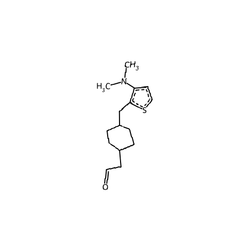 CN(C)c1ccsc1CC1CCC(CC=O)CC1